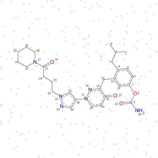 CC(C)Cc1ccc(OC(N)=O)cc1Cc1nn(-c2cnn(CCCC(=O)N3CCCCC3)c2)ccc1=O